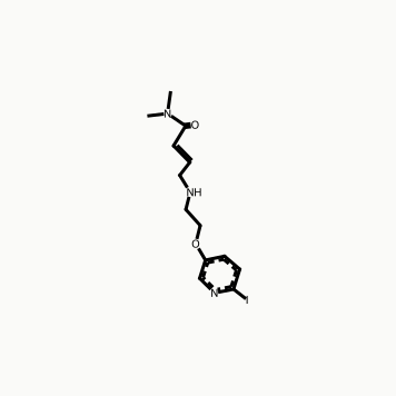 CN(C)C(=O)C=CCNCCOc1ccc(I)nc1